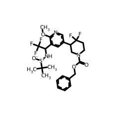 COc1ncc(C2CN(C(=O)OCc3ccccc3)CCC2(F)F)cc1C(N[S+]([O-])C(C)(C)C)C(F)(F)F